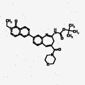 CCn1ccc2cc(-c3ccc4c(c3)N=C(NC(=O)OC(C)(C)C)CC(C(=O)N3CCOCC3)=C4)ccc2c1=O